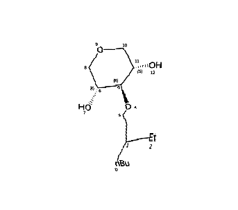 CCCCC(CC)CO[C@H]1[C@H](O)COC[C@@H]1O